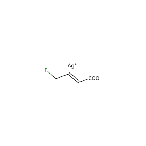 O=C([O-])C=CCF.[Ag+]